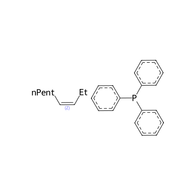 CC/C=C\CCCCC.c1ccc(P(c2ccccc2)c2ccccc2)cc1